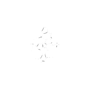 CS(=O)(=O)NC(=O)c1c(-n2c(=O)[nH]c3sccc3c2=O)c2cc(C(F)(F)F)ccc2n1Cc1cc(F)ccc1F